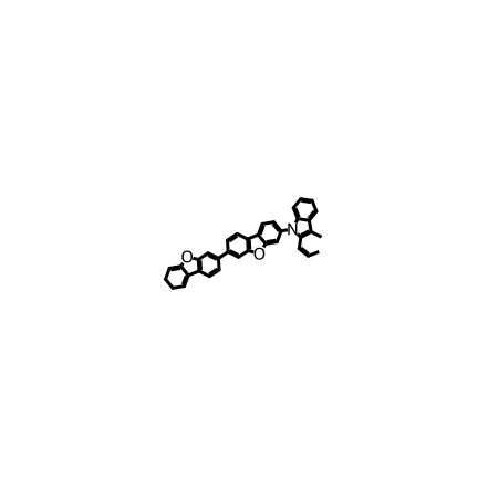 C/C=C\c1c(C)c2ccccc2n1-c1ccc2c(c1)oc1cc(-c3ccc4c5c(oc4c3)=CCCC=5)ccc12